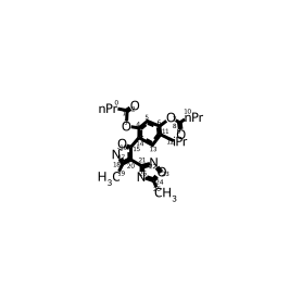 CCCC(=O)Oc1cc(OC(=O)CCC)c(C(C)C)cc1-c1onc(C)c1-c1noc(C)n1